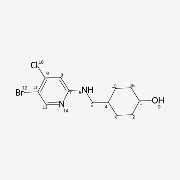 OC1CCC(CNc2cc(Cl)c(Br)cn2)CC1